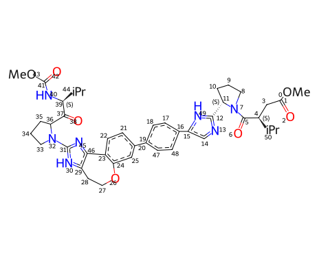 COC(=O)C[C@H](C(=O)N1CCC[C@H]1c1ncc(-c2ccc(-c3ccc4c(c3)OCCc3[nH]c(N5CCCC5C(=O)[C@@H](NC(=O)OC)C(C)C)nc3-4)cc2)[nH]1)C(C)C